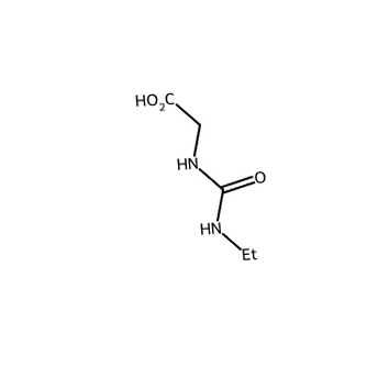 CCNC(=O)NCC(=O)O